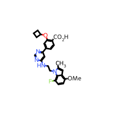 COc1ccc(F)c2c1cc(C)n2CCNc1cc(-c2ccc(C(=O)O)c(OC3CCC3)c2)ncn1